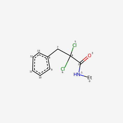 CCNC(=O)C(Cl)(Cl)Cc1ccccc1